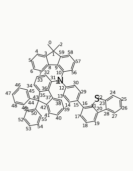 CC1(C)c2ccccc2-c2c(N(c3ccc(-c4cccc5c4sc4ccccc45)cc3)c3cccc4c3-c3ccccc3C4(c3ccccc3)c3ccccc3)cccc21